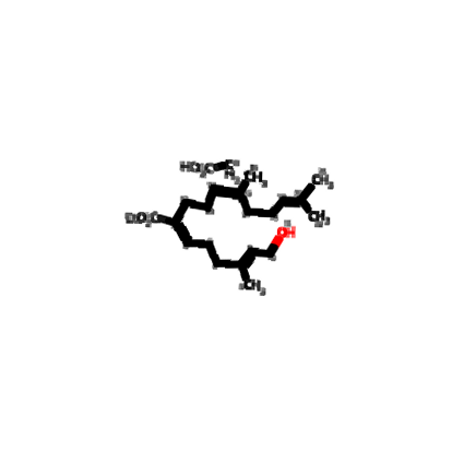 CC(=O)O.CCOC(=O)C(=CCCC(C)=CCO)CCC=C(C)CCC=C(C)C